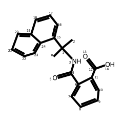 CC(C)(NC(=O)c1ccccc1C(=O)O)c1cccc2ccccc12